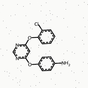 Nc1ccc(Oc2cc(Oc3ccccc3Cl)ncn2)cc1